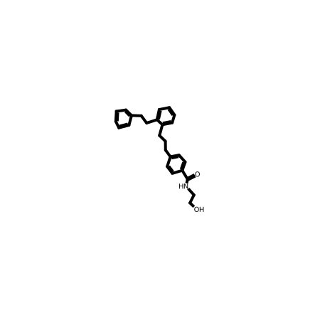 O=C(NCCO)c1ccc(CCCc2ccccc2CCc2ccccc2)cc1